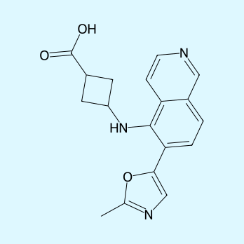 Cc1ncc(-c2ccc3cnccc3c2NC2CC(C(=O)O)C2)o1